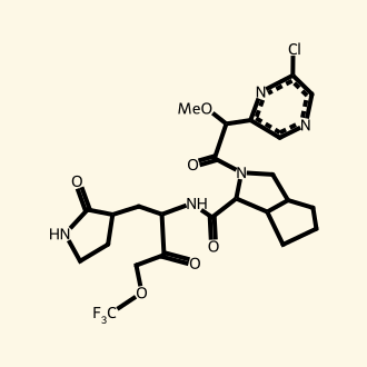 COC(C(=O)N1CC2CCCC2C1C(=O)NC(CC1CCNC1=O)C(=O)COC(F)(F)F)c1cncc(Cl)n1